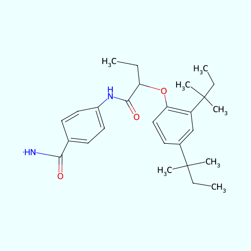 CCC(Oc1ccc(C(C)(C)CC)cc1C(C)(C)CC)C(=O)Nc1ccc(C([NH])=O)cc1